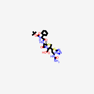 CC(C)(C)OC(=O)NC(C(=O)NC1C(=O)N2C(C(=O)O)=C(C(CCNC(N)=O)Sc3nnn[nH]3)CS[C@@H]12)c1ccccc1